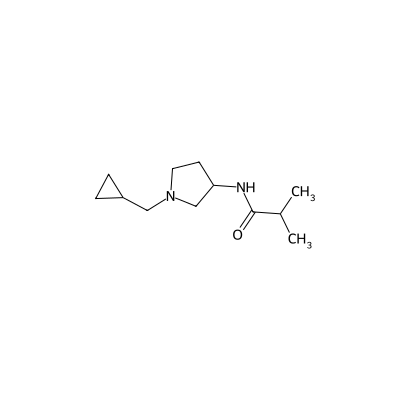 CC(C)C(=O)NC1CCN(CC2CC2)C1